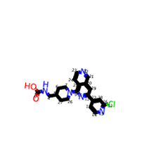 O=C(O)NCC1CCN(c2nc(-c3ccnc(Cl)c3)cc3cnccc23)CC1